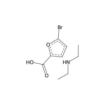 CCNCC.O=C(O)c1ccc(Br)o1